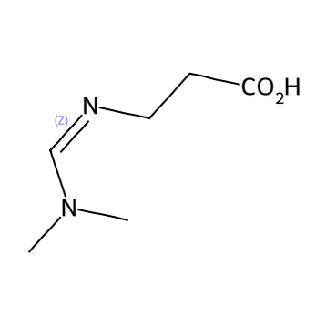 CN(C)/C=N\CCC(=O)O